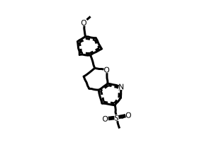 COc1ccc(C2CCc3cc(S(C)(=O)=O)cnc3O2)cc1